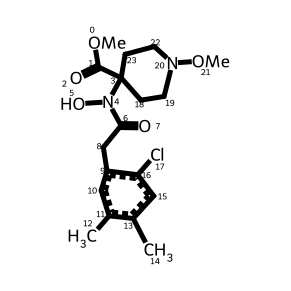 COC(=O)C1(N(O)C(=O)Cc2cc(C)c(C)cc2Cl)CCN(OC)CC1